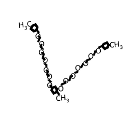 CCc1ccc(OCCOCCOCCOCCOCCOCCOCc2ccc(C)cc2)cc1OCCOCCOCCOCCOCCOCCOCc1ccc(C)cc1